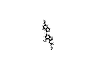 CCOC(=O)Cc1csc2cc(OC3CCc4nc(C#N)ccc43)cc(Cl)c12